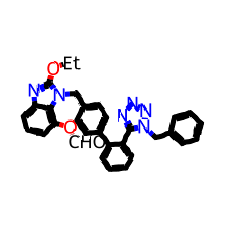 CCOc1nc2cccc(OC=O)c2n1Cc1ccc(-c2ccccc2-c2nnnn2Cc2ccccc2)cc1